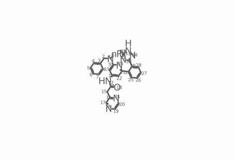 CCCN(Cc1ccccc1)c1cc(NC(=O)Cc2cnccn2)cc(-c2ccccc2-c2nn[nH]n2)n1